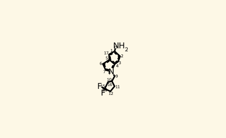 Nc1ccc2c(ccn2CC2CCC(F)(F)C2)c1